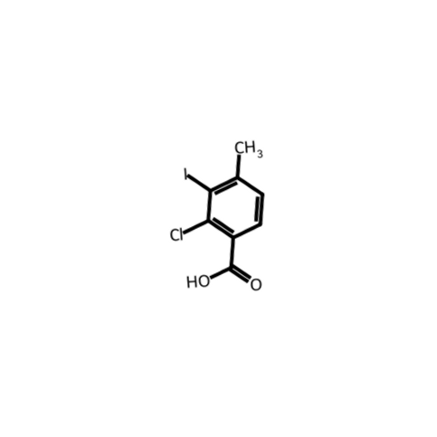 Cc1ccc(C(=O)O)c(Cl)c1I